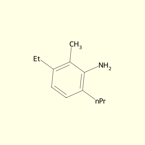 CCCc1ccc(CC)c(C)c1N